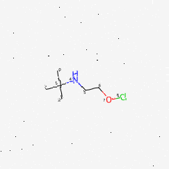 CC(C)(C)NCCOCl